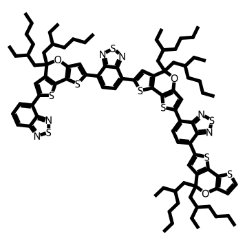 CCCCC(CC)CC1(CC(CC)CCCC)Oc2cc(-c3ccc(-c4cc5c(s4)-c4sc(-c6ccc(-c7cc8c(s7)-c7sccc7OC8(CC(CC)CCCC)CC(CC)CCCC)c7nsnc67)cc4OC5(CC(CC)CCCC)CC(CC)CCCC)c4nsnc34)sc2-c2sc(-c3cccc4nsnc34)cc21